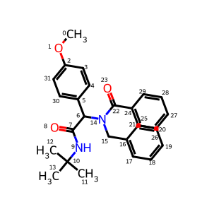 COc1ccc(C(C(=O)NC(C)(C)C)N(Cc2ccccc2)C(=O)c2ccccc2)cc1